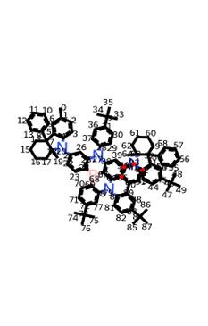 Cc1ccc2c(c1)C1(c3ccccc3)CCCCC1(C)N2c1ccc2c(c1)N(c1ccc(C(C)(C)C)cc1)c1cc(N3c4ccc(C(C)(C)C)cc4C4(c5ccccc5)CCCCC34C)cc3c1B2c1ccc(C(C)(C)C)cc1N3c1ccc(C(C)(C)C)cc1-c1ccccc1